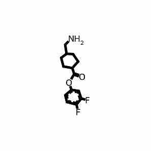 NCC1CCC(C(=O)Oc2ccc(F)c(F)c2)CC1